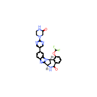 O=C1CN(c2ncc(-c3ccc4nc5n(c4c3)[C@@H]3C[C@H]5NC(=O)c4cccc(OC(F)F)c43)cn2)CCN1